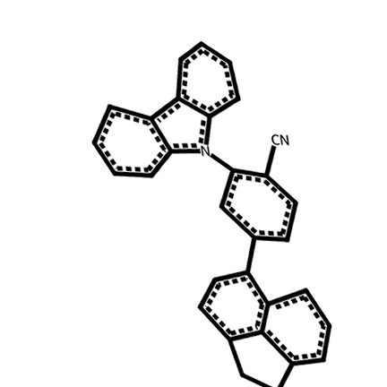 N#Cc1ccc(-c2ccc3c4c(cccc24)CC3)cc1-n1c2ccccc2c2ccccc21